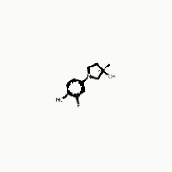 C[C@]1(O)CCN(c2ccc(C#N)c(F)c2)C1